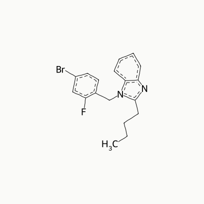 CCCCc1nc2ccccc2n1Cc1ccc(Br)cc1F